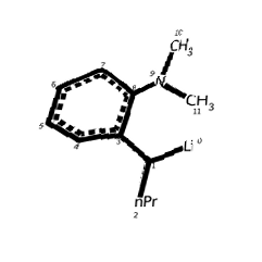 [Li][CH](CCC)c1ccccc1N(C)C